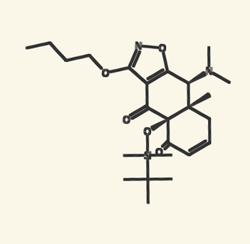 CCCCOc1noc2c1C(=O)[C@@]1(O[Si](C)(C)C(C)(C)C)C(=O)C=CC[C@@]1(C)[C@@H]2N(C)C